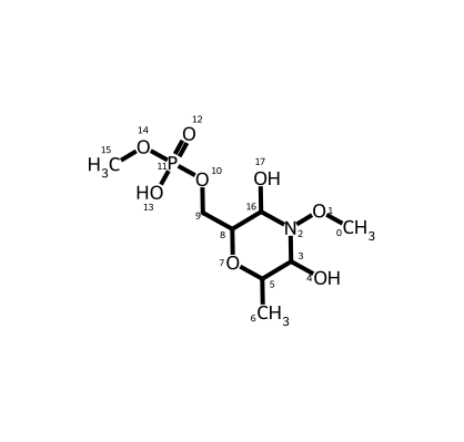 CON1C(O)C(C)OC(COP(=O)(O)OC)C1O